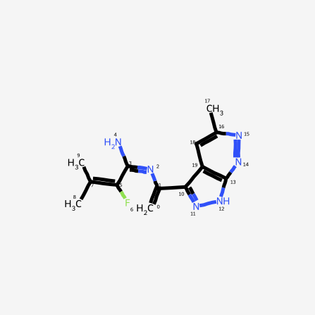 C=C(/N=C(/N)C(F)=C(C)C)c1n[nH]c2nnc(C)cc12